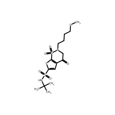 COCCCCN1CC(=O)c2cc(S(=O)(=O)NC(C)(C)C)sc2S1(=O)=O